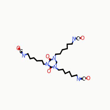 O=C=NCCCCCCN1CN(CCCCCCN=C=O)C(=O)N(CCCCCCN=C=O)C1=O